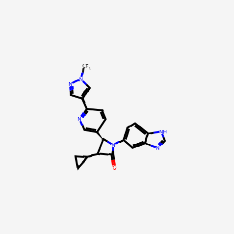 O=C1C(C2CC2)[C@@H](c2ccc(-c3cnn(C(F)(F)F)c3)nc2)N1c1ccc2[nH]cnc2c1